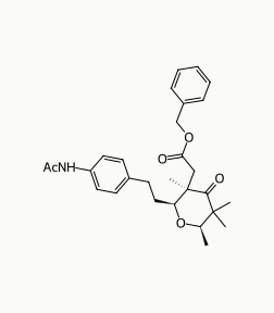 CC(=O)Nc1ccc(CC[C@@H]2O[C@H](C)C(C)(C)C(=O)[C@]2(C)CC(=O)OCc2ccccc2)cc1